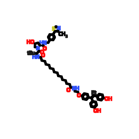 CCC(=C(c1ccc(O)cc1)c1ccc(OCCNC(=O)CCCCCCCCCCCCCCC(=O)NC(C(=O)N2C[C@H](O)C[C@H]2C(=O)NCc2ccc(-c3scnc3C)cc2)C(C)(C)C)cc1)c1ccc(O)cc1